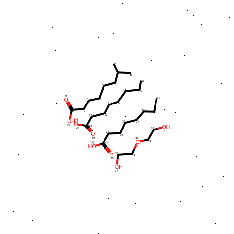 CC(C)CCCCCC(=O)O.CCCCCCCC(=O)O.CCCCCCCC(=O)O.OCCOCCO